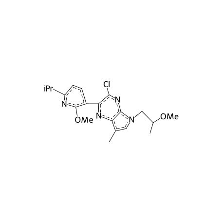 COc1nc(C(C)C)ccc1-c1nc2c(C)cn(CC(C)OC)c2nc1Cl